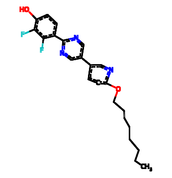 CCCCCCCCOc1ccc(-c2cnc(-c3ccc(O)c(F)c3F)nc2)cn1